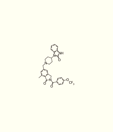 Cc1cc(CN2CCC(n3c(=O)[nH]c4ccccc43)CC2)cc2c1C(=O)N(C(=O)c1ccc(OC(F)(F)F)cc1)C2